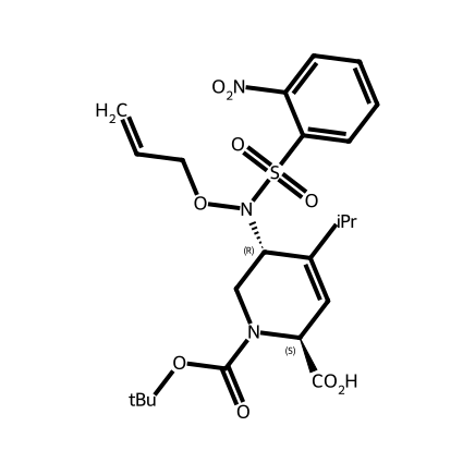 C=CCON([C@H]1CN(C(=O)OC(C)(C)C)[C@H](C(=O)O)C=C1C(C)C)S(=O)(=O)c1ccccc1[N+](=O)[O-]